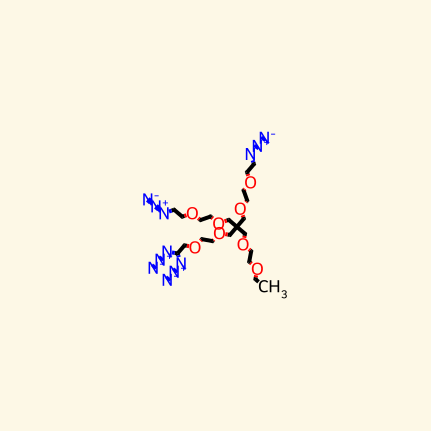 CCOCCOCC(COCCOCCN=[N+]=[N-])(COCCOCCN=[N+]=[N-])COCCOCC(N=[N+]=[N-])N=[N+]=[N-]